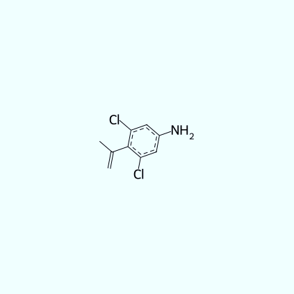 C=C(C)c1c(Cl)cc(N)cc1Cl